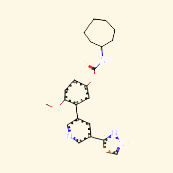 COc1ccc(OC(=O)NC2CCCCCC2)cc1-c1cncc(-c2nncs2)c1